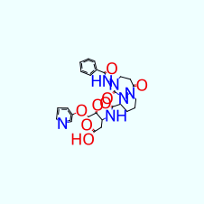 O=C(O)CC(NC(=O)C1CCCN2C(=O)CCN(NC(=O)c3ccccc3)C(=O)N12)C(=O)COc1cccnc1